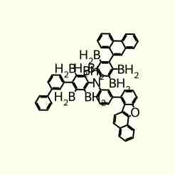 Bc1c(B)c(N(c2cccc(-c3cccc4oc5c6ccccc6ccc5c34)c2)c2c(B)c(B)c(-c3cc4ccccc4c4ccccc34)c(B)c2B)c(B)c(B)c1-c1cccc(-c2ccccc2)c1